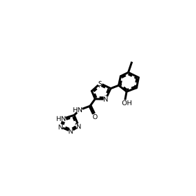 Cc1ccc(O)c(-c2nc(C(=O)Nc3nnn[nH]3)cs2)c1